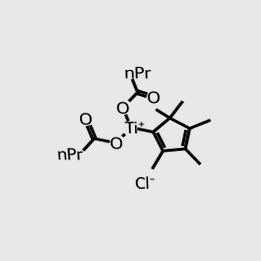 CCCC(=O)[O][Ti+]([O]C(=O)CCC)[C]1=C(C)C(C)=C(C)C1(C)C.[Cl-]